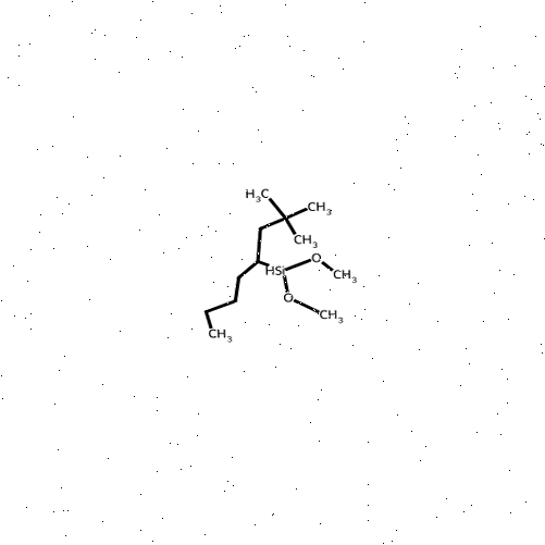 CCCCC(CC(C)(C)C)[SiH](OC)OC